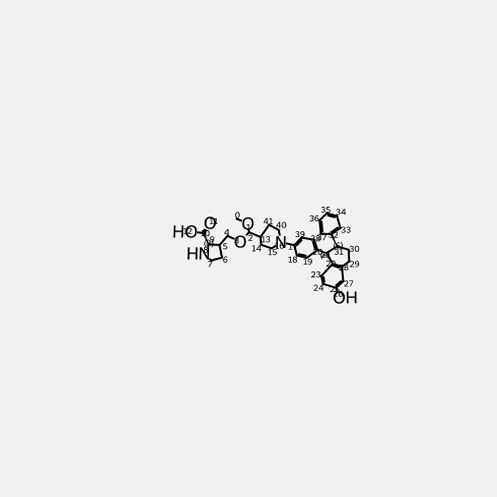 COC(OCC1CCN[C@H]1C(=O)O)C1CCN(c2ccc([C@@H]3c4ccc(O)cc4CC[C@@H]3c3ccccc3)cc2)CC1